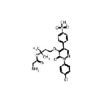 CC(C)(CCOc1c(-c2ccc(S(C)(=O)=O)cc2)cnn(-c2ccc(Cl)cc2)c1=O)OC(=O)CN